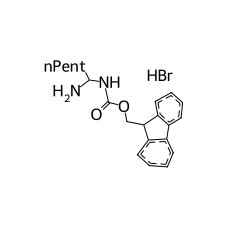 Br.CCCCCC(N)NC(=O)OCC1c2ccccc2-c2ccccc21